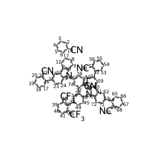 N#Cc1ccccc1-c1ccc2c(c1)c1cc(-c3ccccc3C#N)ccc1n2-c1ccc(C#N)c(-c2cc(-c3c(C(F)(F)F)cccc3C(F)(F)F)ccc2-n2c3ccc(-c4ccccc4C#N)cc3c3cc(-c4ccccc4C#N)ccc32)c1